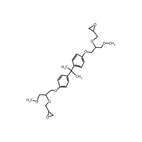 COCC(COc1ccc(C(C)(C)c2ccc(OCC(COC)OCC3CO3)cc2)cc1)OCC1CO1